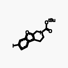 CC(C)(C)OC(=O)N1CCc2c(oc3cc(I)ccc23)C1